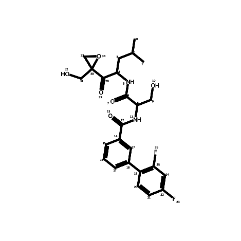 CC(C)CC(NC(=O)C(CO)NC(=O)c1cccc(-c2ccc(F)cc2F)c1)C(=O)C1(CO)CO1